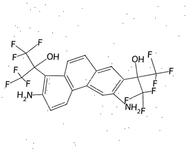 Nc1cc2c(ccc3c(C(O)(C(F)(F)F)C(F)(F)F)c(N)ccc32)cc1C(O)(C(F)(F)F)C(F)(F)F